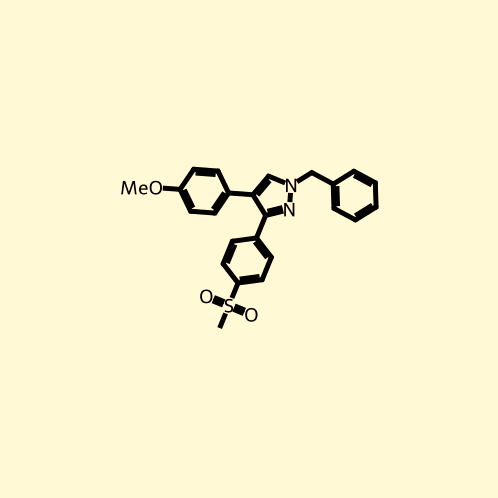 COc1ccc(-c2cn(Cc3ccccc3)nc2-c2ccc(S(C)(=O)=O)cc2)cc1